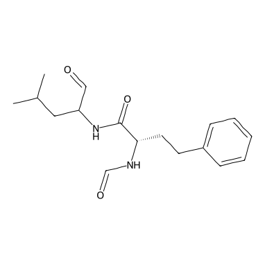 CC(C)CC(C=O)NC(=O)[C@H](CCc1ccccc1)NC=O